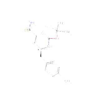 Cc1ccc(C[C@@H](CCC(N)=S)NC(=O)OC(C)(C)C)cc1